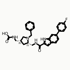 O=C(O)NC[C@H]1C[C@@H](CNC(=O)c2cc3ccc(-c4ccc(F)cc4)cc3[nH]2)N(Cc2ccccc2)C1